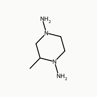 CC1CN(N)CCN1N